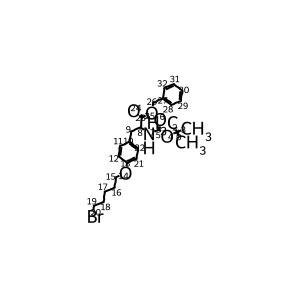 CC(C)(C)OC(=O)NC(Cc1ccc(OCCCCCBr)cc1)C(=O)OCc1ccccc1